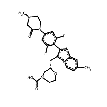 Cc1ccn2c(C[C@H]3CN(C(=O)O)CCO3)c(-c3c(F)cc(N4CCN(C)CC4=O)cc3F)nc2c1